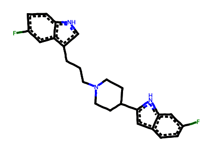 Fc1ccc2cc(C3CCN(CCCc4c[nH]c5ccc(F)cc45)CC3)[nH]c2c1